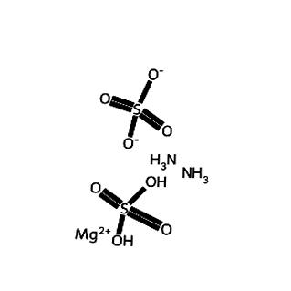 N.N.O=S(=O)(O)O.O=S(=O)([O-])[O-].[Mg+2]